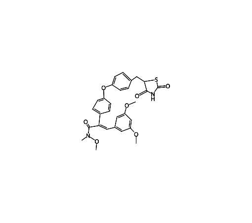 COc1cc(/C=C(/C(=O)N(C)OC)c2ccc(Oc3ccc(CC4SC(=O)NC4=O)cc3)cc2)cc(OC)c1